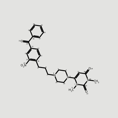 Cn1c(N2CCN(CCCc3ccc(C(=O)c4ccccc4)cc3[N+](=O)[O-])CC2)cc(=O)n(C)c1=O